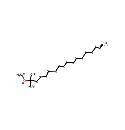 C=CCCCCCCCCCCCCCCC(CCC)(CCC)O[SiH3]